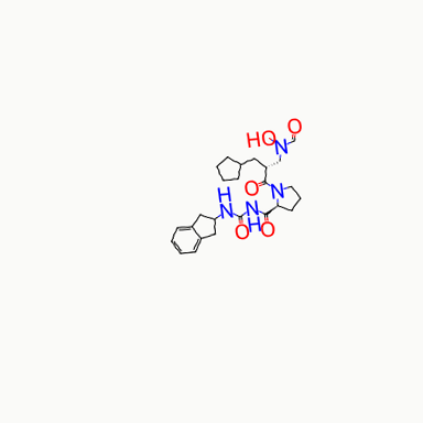 O=CN(O)C[C@@H](CC1CCCC1)C(=O)N1CCC[C@H]1C(=O)NC(=O)NC1Cc2ccccc2C1